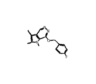 Cc1c(C)n(C)c2c(OCc3ccc(F)cc3)nncc12